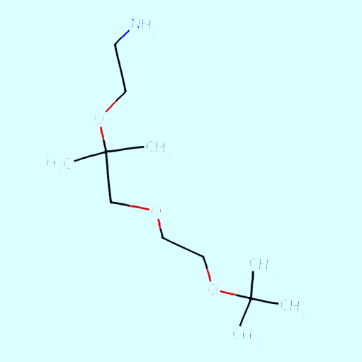 CC(C)(C)OCCOCC(C)(C)OCCN